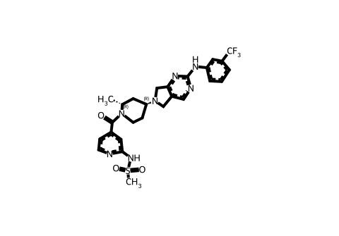 C[C@@H]1C[C@H](N2Cc3cnc(Nc4cccc(C(F)(F)F)c4)nc3C2)CCN1C(=O)c1ccnc(NS(C)(=O)=O)c1